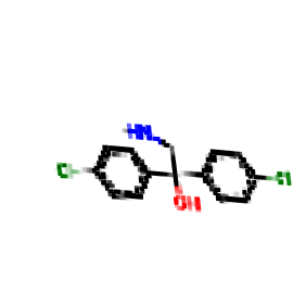 [NH]CC(O)(c1ccc(Cl)cc1)c1ccc(Cl)cc1